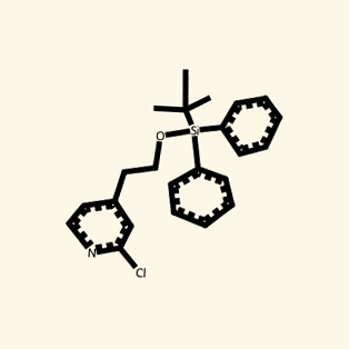 CC(C)(C)[Si](OCCc1ccnc(Cl)c1)(c1ccccc1)c1ccccc1